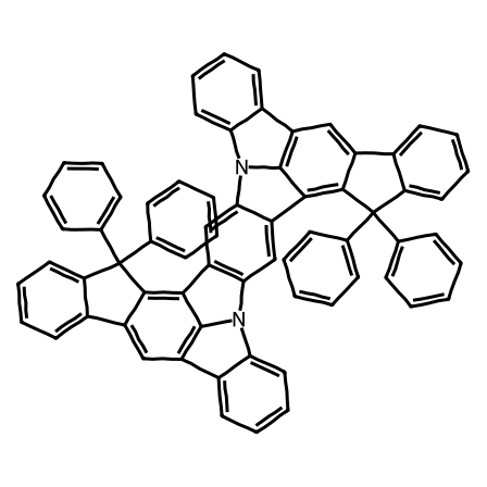 c1ccc(C2(c3ccccc3)c3ccccc3-c3cc4c5ccccc5n5c6cc7c8c9c(cc%10c%11ccccc%11n(c7cc6c(c32)c45)c%108)-c2ccccc2C9(c2ccccc2)c2ccccc2)cc1